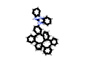 c1ccc2c(c1)nc1n(-c3ccc4c(c3)c3cccc5c3-c3c(cccc3c3ccccc34)c3ccccc3c3ccccc53)c3ccccc3n21